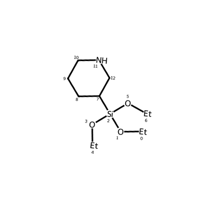 CCO[Si](OCC)(OCC)C1CCCNC1